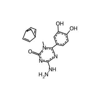 C1=CC2=CC=C1C2.Cn1c(-c2ccc(O)c(O)c2)nc(NN)nc1=O